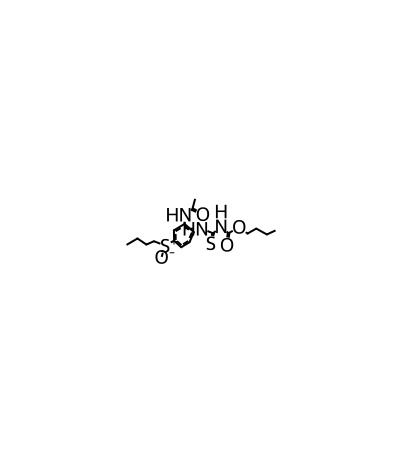 CCCCOC(=O)NC(=S)Nc1ccc([S+]([O-])CCCC)cc1NC(C)=O